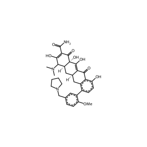 COc1ccc(CN2CCCC2)cc1-c1ccc(O)c2c1C[C@H]1C[C@H]3C(N(C)C)C(O)=C(C(N)=O)C(=O)[C@@]3(O)C(O)=C1C2=O